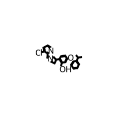 CC(C)c1ccccc1Oc1ccc(C2CCN(Cc3ncccc3Cl)C2)c(CO)c1